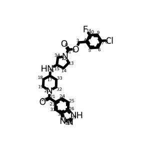 O=C(OCc1ccc(Cl)cc1F)N1CCC(NC2CCN(C(=O)c3ccc4[nH]nnc4c3)CC2)C1